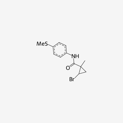 CSc1ccc(NC(=O)C2(C)CC2Br)cc1